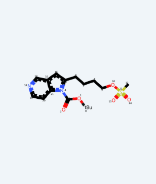 CC(C)(C)OC(=O)n1c(CCCCOS(C)(=O)=O)cc2cnccc21